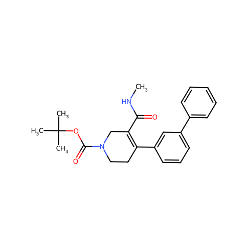 CNC(=O)C1=C(c2cccc(-c3ccccc3)c2)CCN(C(=O)OC(C)(C)C)C1